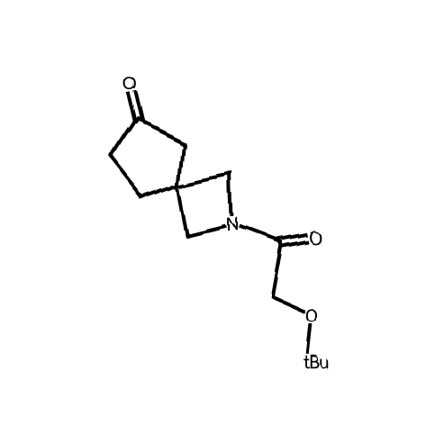 CC(C)(C)OCC(=O)N1CC2(CCC(=O)C2)C1